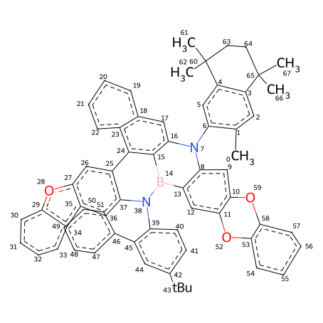 Cc1cc2c(cc1N1c3cc4c(cc3B3c5c1cc1ccccc1c5-c1cc5oc6ccccc6c5cc1N3c1ccc(C(C)(C)C)cc1-c1ccccc1)Oc1ccccc1O4)C(C)(C)CCC2(C)C